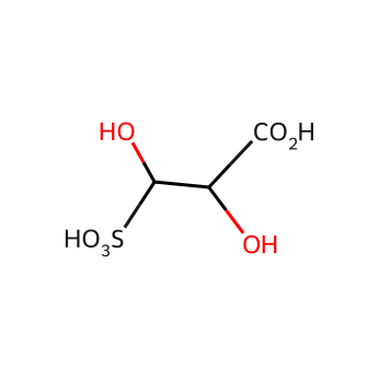 O=C(O)C(O)C(O)S(=O)(=O)O